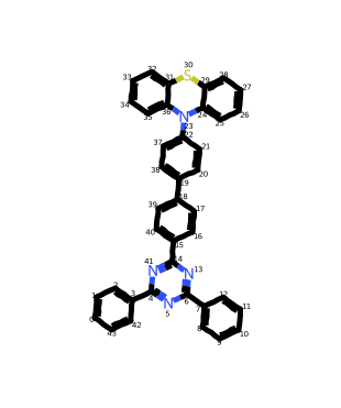 c1ccc(-c2nc(-c3ccccc3)nc(-c3ccc(-c4ccc(N5c6ccccc6Sc6ccccc65)cc4)cc3)n2)cc1